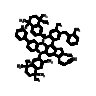 C#C/C=C\C1=C(C)Cc2c1cc1c(c2-c2cc(Cc3ccccc3C)c(C)cc2Nc2ccc3c(c2)C(C)(C)CCC3(C)C)Bc2cc(-c3ccccc3)ccc2N1c1cc2c(cc1C)C(C)(C)CCC2(C)C